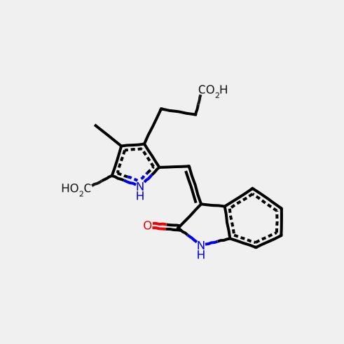 Cc1c(C(=O)O)[nH]c(/C=C2\C(=O)Nc3ccccc32)c1CCC(=O)O